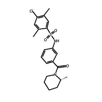 Cc1cc(S(=O)(=O)Nc2cccc(C(=O)N3CCCC[C@H]3C)c2)c(C)cc1Cl